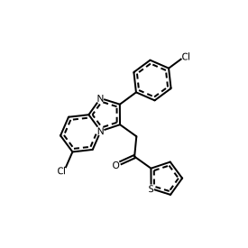 O=C(Cc1c(-c2ccc(Cl)cc2)nc2ccc(Cl)cn12)c1cccs1